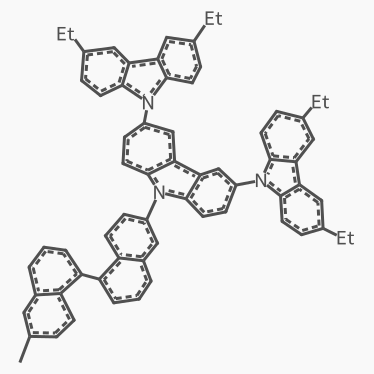 CCc1ccc2c(c1)c1cc(CC)ccc1n2-c1ccc2c(c1)c1cc(-n3c4ccc(CC)cc4c4cc(CC)ccc43)ccc1n2-c1ccc2c(-c3cccc4cc(C)ccc34)cccc2c1